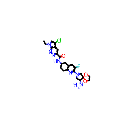 CCn1cc(Cl)c2cc(C(=O)NC3CCc4nc(N5CC(N)C6(C5)OCCO6)c(F)cc4C3)nnc21